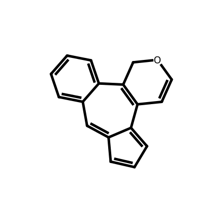 C1=Cc2c3cccc-3cc3ccccc3c2CO1